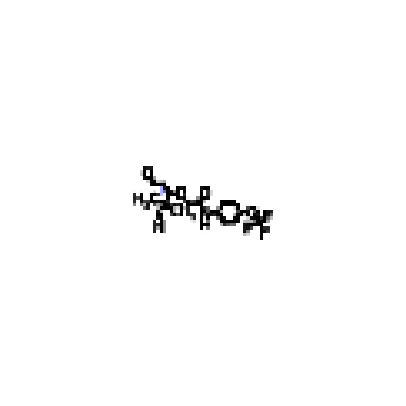 CC(C)(S)/C(=C\C=O)OCC(=O)Nc1ccc(OC(F)(F)F)cc1